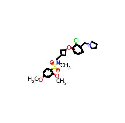 COc1ccc(S(=O)(=O)N(C)CC2CC(Oc3cccc(CN4CCCC4)c3Cl)C2)c(OC)c1